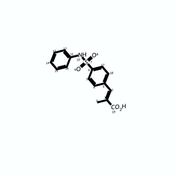 CC(=Cc1ccc(S(=O)(=O)Nc2ccccc2)cc1)C(=O)O